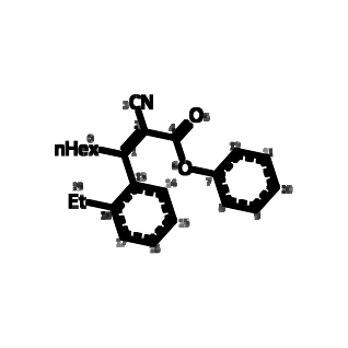 CCCCCCC(=C(C#N)C(=O)Oc1ccccc1)c1ccccc1CC